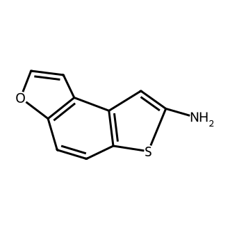 Nc1cc2c(ccc3occc32)s1